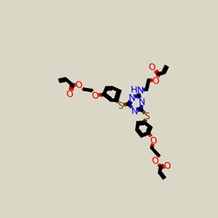 C=CC(=O)OCCNc1nc(Sc2cccc(OCCOC(=O)C=C)c2)nc(Sc2cccc(OCCOC(=O)C=C)c2)n1